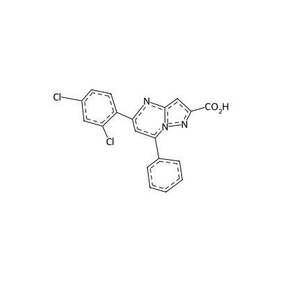 O=C(O)c1cc2nc(-c3ccc(Cl)cc3Cl)cc(-c3ccccc3)n2n1